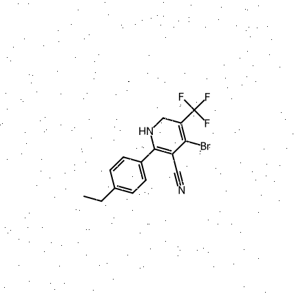 CCc1ccc(C2=C(C#N)C(Br)=C(C(F)(F)F)CN2)cc1